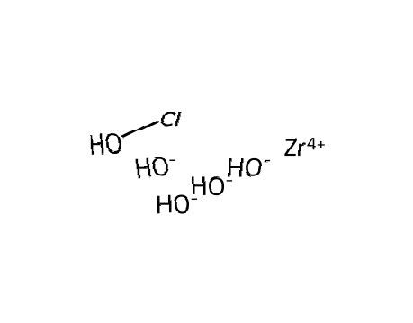 OCl.[OH-].[OH-].[OH-].[OH-].[Zr+4]